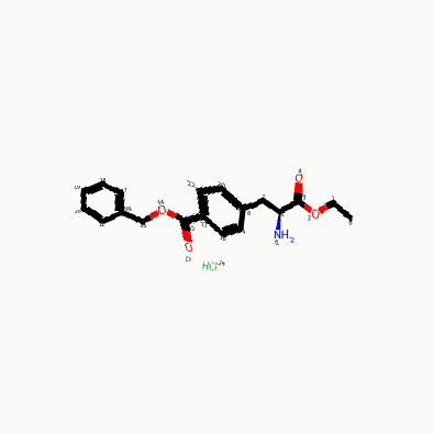 CCOC(=O)[C@@H](N)Cc1ccc(C(=O)OCc2ccccc2)cc1.Cl